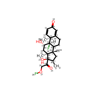 C[C@@H]1C[C@H]2[C@@H]3CCC4=CC(=O)C=C[C@]4(C)[C@@]3(F)[C@@H](O)C[C@]2(C)[C@@]1(O)C(=O)COF